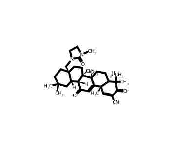 CN1CCN(C[C@]23CCC(C)(C)C[C@H]2[C@H]2C(=O)C=C4[C@@]5(C)C=C(C#N)C(=O)C(C)(C)[C@@H]5CC[C@@]4(C)[C@]2(C)CC3)C1=O